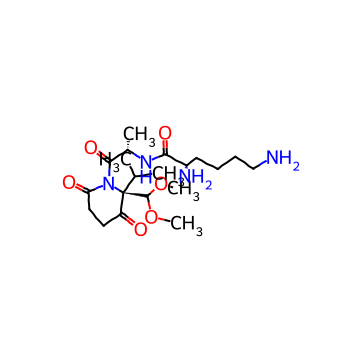 COC(OC)[C@@]1(C(C)C)C(=O)CCC(=O)N1C(=O)[C@H](C)NC(=O)[C@@H](N)CCCCN